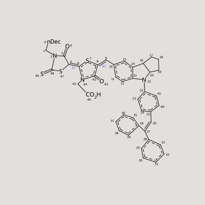 CCCCCCCCCCCN1C(=O)/C(=c2\s/c(=C/c3ccc4c(c3)C3CCCC3N4c3ccc(C=C(c4ccccc4)c4ccccc4)cc3)c(=O)n2CC(=O)O)SC1=S